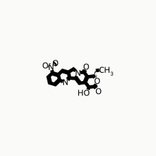 CC[C@@H]1OC(=O)C(O)c2cc3n(c(=O)c21)Cc1cc2c([N+](=O)[O-])cccc2nc1-3